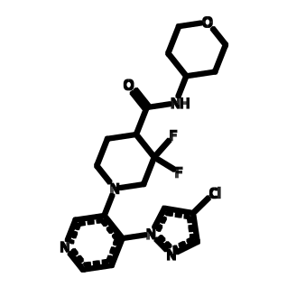 O=C(NC1CCOCC1)C1CCN(c2cnccc2-n2cc(Cl)cn2)CC1(F)F